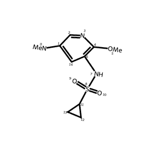 CNc1cnc(OC)c(NS(=O)(=O)C2CC2)c1